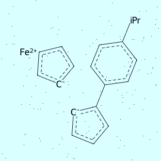 CC(C)c1ccc(-c2ccc[cH-]2)cc1.[Fe+2].c1cc[cH-]c1